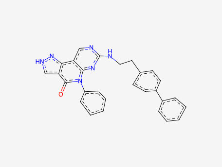 O=c1c2c[nH]nc2c2cnc(NCCc3ccc(-c4ccccc4)cc3)nc2n1-c1ccccc1